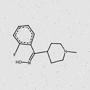 CN1CCC(C(=NO)c2ccccc2F)CC1